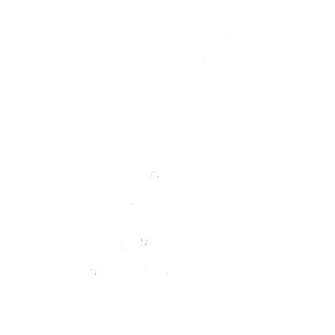 CCOC1=CC=C(CCNCC(=O)Cn2sc3ncccc3c2=O)CC=C1